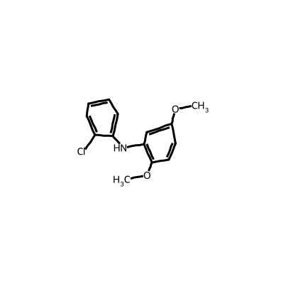 COc1ccc(OC)c(Nc2ccccc2Cl)c1